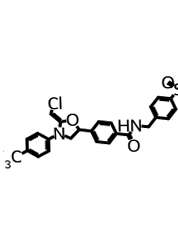 CCS(=O)(=O)c1ccc(CNC(=O)c2ccc(C3CN(c4ccc(C(F)(F)F)cc4)C(=CCl)O3)cc2)cc1